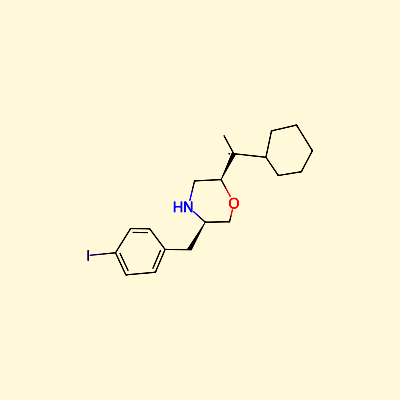 C[C](C1CCCCC1)[C@@H]1CN[C@H](Cc2ccc(I)cc2)CO1